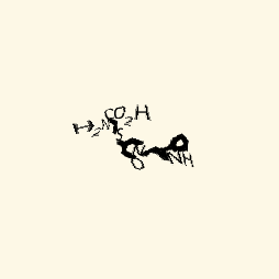 N[C@@H](CCSCC1CCN(CCc2c[nH]c3ccccc23)C(=O)C1)C(=O)O